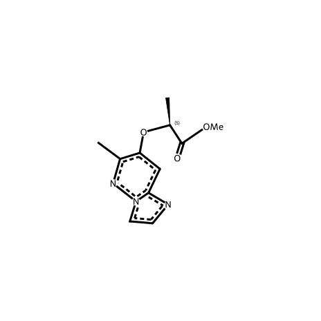 COC(=O)[C@H](C)Oc1cc2nccn2nc1C